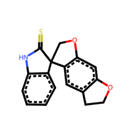 S=C1Nc2ccccc2C12COc1cc3c(cc12)CCO3